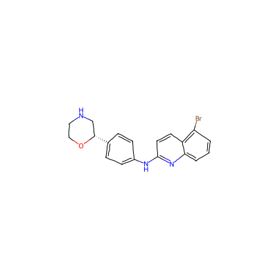 Brc1cccc2nc(Nc3ccc([C@H]4CNCCO4)cc3)ccc12